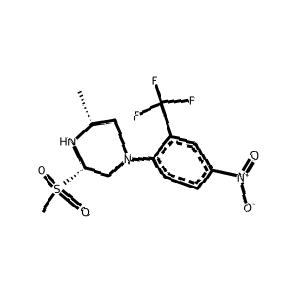 C[C@@H]1CN(c2ccc([N+](=O)[O-])cc2C(F)(F)F)C[C@H](S(C)(=O)=O)N1